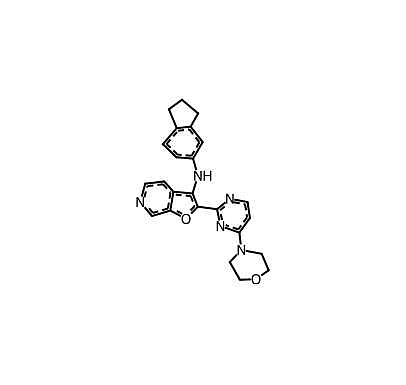 c1cc2c(Nc3ccc4c(c3)CCC4)c(-c3nccc(N4CCOCC4)n3)oc2cn1